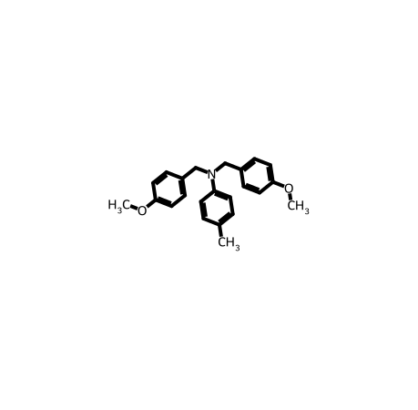 COc1ccc(CN(Cc2ccc(OC)cc2)c2ccc(C)cc2)cc1